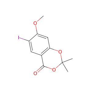 COc1cc2c(cc1I)C(=O)OC(C)(C)O2